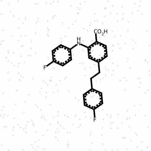 O=C(O)c1ccc(CCc2ccc(F)cc2)cc1Nc1ccc(F)cc1